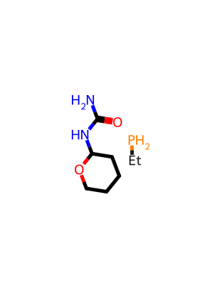 CCP.NC(=O)NC1CCCCO1